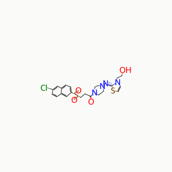 O=C(CCS(=O)(=O)c1ccc2cc(Cl)ccc2c1)N1CCN(/N=c2\sccn2CCO)CC1